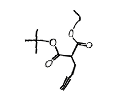 C#CCC(C(=O)OCC)C(=O)OC(C)(C)C